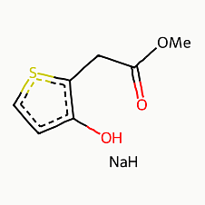 COC(=O)Cc1sccc1O.[NaH]